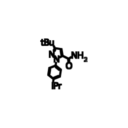 CC(C)c1ccc(-n2nc(C(C)(C)C)cc2C(N)=O)cc1